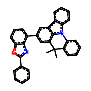 CC1(C)c2ccccc2-n2c3ccccc3c3cc(-c4cccc5oc(-c6ccccc6)nc45)cc1c32